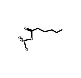 CCCCCC(=O)[O][SnH]([Cl])[Cl]